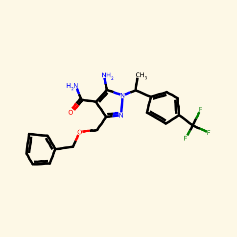 CC(c1ccc(C(F)(F)F)cc1)n1nc(COCc2ccccc2)c(C(N)=O)c1N